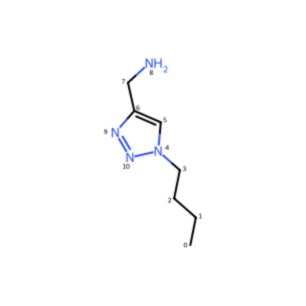 CCCCn1cc(CN)nn1